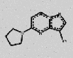 CC(C)c1cnn2ccc(N3CCCC3)nc12